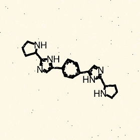 c1cc(-c2cnc(C3CCCN3)[nH]2)ccc1-c1cnc(C2CCCN2)[nH]1